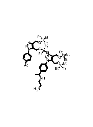 CC[Si](CC)(CC)OCc1nnn(-c2ccc(C(C)=O)cc2)c1CO[Si](CC)(CC)CC.CC[Si](CC)(CC)OCc1nnn(-c2ccc(C(C)NCCN)cc2)c1CO[Si](CC)(CC)CC